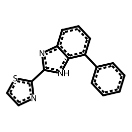 c1ccc(-c2cccc3nc(-c4nccs4)[nH]c23)cc1